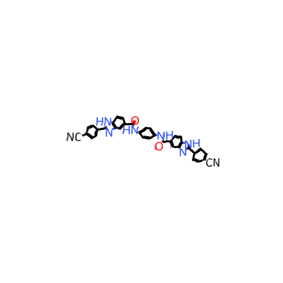 N#Cc1ccc(-c2nc3cc(C(=O)Nc4ccc(NC(=O)c5ccc6[nH]c(-c7ccc(C#N)cc7)nc6c5)cc4)ccc3[nH]2)cc1